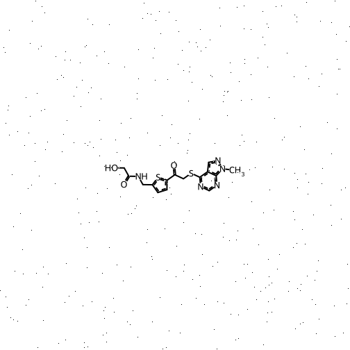 Cn1ncc2c(SCC(=O)c3ccc(CNC(=O)CO)s3)ncnc21